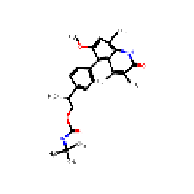 COc1cc(C)c2[nH]c(=O)c(C)c(C)c2c1-c1ccc([C@@H](C)COC(=O)NC(C)(C)C)cc1